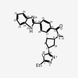 CCc1nnc([C@H]2CC[C@@H](N(C)C(=O)c3ccc(-c4nc5ccccc5[nH]4)cc3)C2)o1